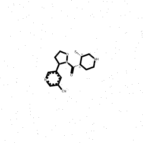 N#Cc1cncc(C2CCON2C(=O)[C@H]2CCNC[C@H]2F)c1